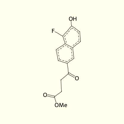 COC(=O)CCC(=O)c1ccc2c(F)c(O)ccc2c1